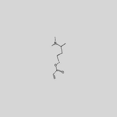 C=CC(=O)OCCCC(C)N(C)C